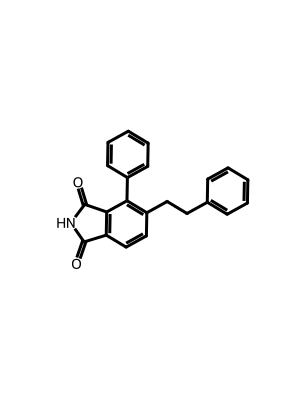 O=C1NC(=O)c2c1ccc(CCc1ccccc1)c2-c1ccccc1